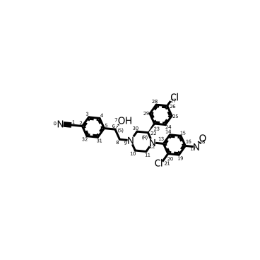 N#Cc1ccc([C@H](O)CN2CCN(c3ccc(N=O)cc3Cl)[C@H](c3ccc(Cl)cc3)C2)cc1